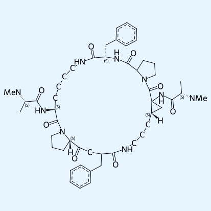 CN[C@@H](C)C(=O)N[C@H]1CCCCNC(=O)[C@H](Cc2ccccc2)NC(=O)C2CCCN2C(=O)C2(NC(=O)[C@H](C)NC)C[C@@H]2CCCNC(=O)C(Cc2ccccc2)CC(=O)[C@@H]2CCCN2C1=O